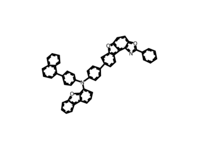 c1ccc(-c2nc3c(ccc4oc5cc(-c6ccc(N(c7ccc(-c8cccc9ccccc89)cc7)c7cccc8c7oc7ccccc78)cc6)ccc5c43)o2)cc1